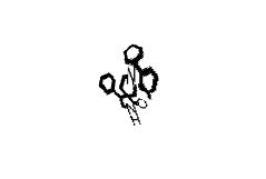 Cc1cccc(C2(N3CCC4(CC3)C(=O)NCC4c3ccccc3)CCCCC2)c1